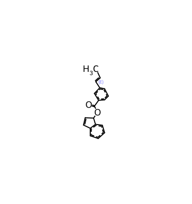 C/C=C/c1cccc(C(=O)OC2C=Cc3ccccc32)c1